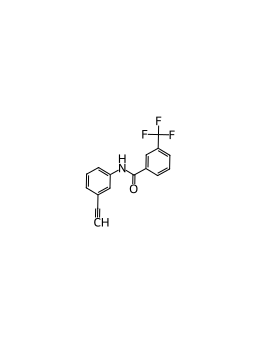 C#Cc1cccc(NC(=O)c2cccc(C(F)(F)F)c2)c1